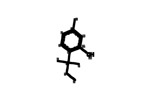 CCC(C)(C)c1ccc(C)cc1O